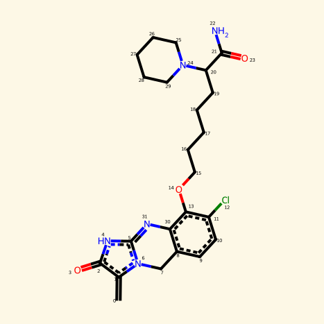 C=c1c(=O)[nH]c2n1Cc1ccc(Cl)c(OCCCCCC(C(N)=O)N3CCCCC3)c1N=2